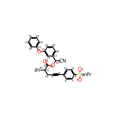 CCCS(=O)(=O)c1ccc(C#CCC(C(=O)OC(C#N)c2cccc(Oc3ccccc3)c2)C(C)C)cc1